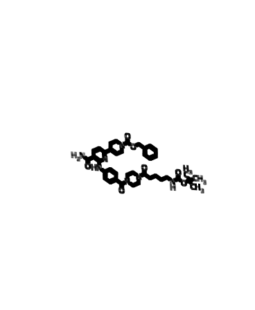 CC(C)(C)OC(=O)NCCCCC(=O)N1CCN(C(=O)c2ccc(Nc3nc(C4=CCN(C(=O)OCc5ccccc5)CC4)ccc3C(N)=O)cc2)CC1